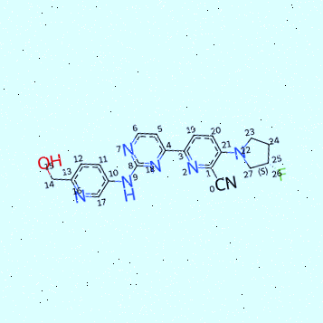 N#Cc1nc(-c2ccnc(Nc3ccc(CO)nc3)n2)ccc1N1CC[C@H](F)C1